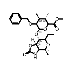 CCC1O[C@@H](C)C2NC(=O)O[C@H]2[C@@H]1O[C@@H]1OC(C(=O)OC)[C@@H](C)[C@H](C)C1OCc1ccccc1